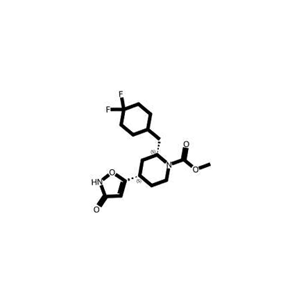 COC(=O)N1CC[C@H](c2cc(=O)[nH]o2)C[C@@H]1CC1CCC(F)(F)CC1